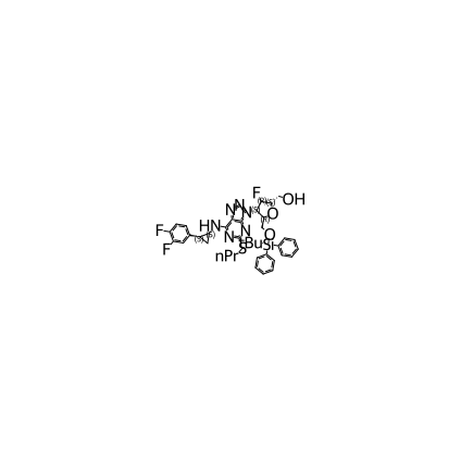 CCCSc1nc(N[C@H]2C[C@H]2c2ccc(F)c(F)c2)c2nnn([C@@H]3[C@@H](F)[C@H](CO)O[C@H]3CO[Si](c3ccccc3)(c3ccccc3)C(C)(C)C)c2n1